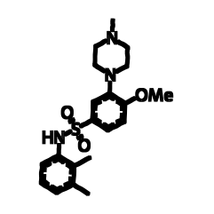 COc1ccc(S(=O)(=O)Nc2cccc(C)c2C)cc1N1CCN(C)CC1